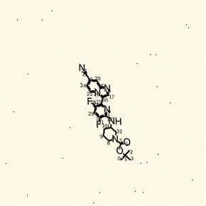 CC(C)(C)OC(=O)N1CCC[C@@H](Nc2nc(-c3cnc4cc(C#N)ccn34)c(F)cc2F)C1